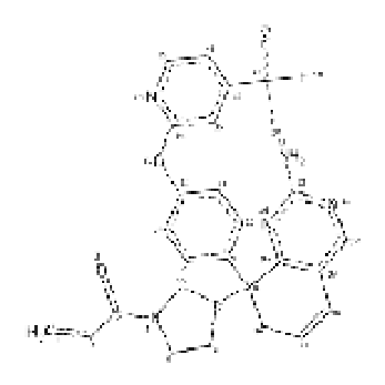 C=CC(=O)N1CCC(C2(c3ccc(Oc4cc(C(F)(F)F)ccn4)cc3)CC=Cc3cnc(N)nc32)C1